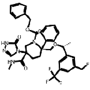 CNC(=O)C1(n2cn[nH]c2=O)CC[C@@](CO[C@H](C)c2cc(CF)cc(C(F)(F)F)c2)(c2ccccc2)N(C(=O)OCc2ccccc2)C1